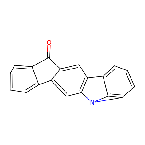 O=C1c2ccccc2-c2cc3c(cc21)c1cccc2c1n3-2